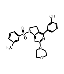 O=S(=O)(c1cccc(C(F)(F)F)c1)N1CCc2c(-c3cccc(O)c3)nc(N3CCOCC3)nc21